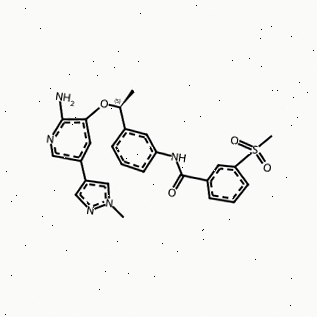 C[C@H](Oc1cc(-c2cnn(C)c2)cnc1N)c1cccc(NC(=O)c2cccc(S(C)(=O)=O)c2)c1